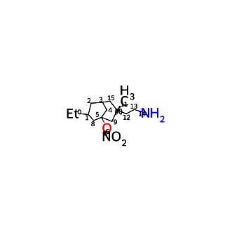 CCC1CC2CC(O[N+](=O)[O-])(C1)C[C@@](C)(CCN)C2